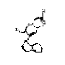 CC(C)c1nn(CC(N)=O)c(=O)cc1-c1cccc2ccccc12